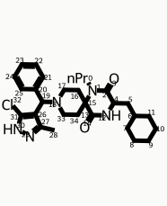 CCCN1C(=O)C(CC2CCCCC2)NC(=O)C12CCN(C(c1ccccc1)c1c(C)n[nH]c1Cl)CC2